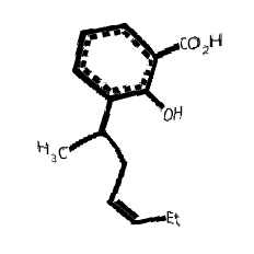 CC/C=C\CC(C)c1cccc(C(=O)O)c1O